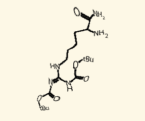 CC(C)(C)OC(=O)N=C(NCCCCC(N)C(N)=O)NC(=O)OC(C)(C)C